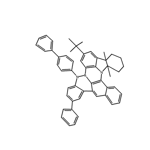 CC(C)(C)c1cc2c3c(c1)C1(C)CCCCC1(C)N3c1c3c(cc4ccccc14)-c1cc(-c4ccccc4)ccc1N(c1ccc(-c4ccccc4)cc1)B23